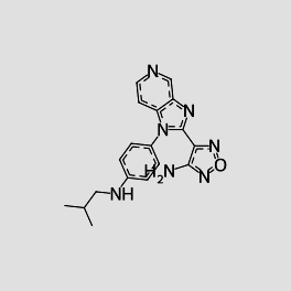 CC(C)CNc1ccc(-n2c(-c3nonc3N)nc3cnccc32)cc1